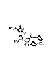 C[C@H](NP(=O)(OC[C@H]1O[C@@H](n2cc(/C=C/Br)c(=O)[nH]c2=O)CC1O)Oc1ccc([N+](=O)[O-])cc1)C(=O)OCc1ccccc1